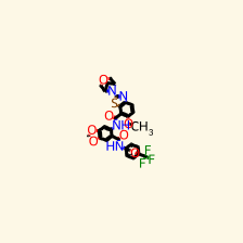 COc1ccc2nc(N3C4COCC3C4)sc2c1C(=O)Nc1cc2c(cc1C(=O)NC13CCC(C(F)(F)F)(CC1)OC3)OCO2